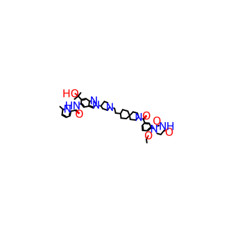 CCOc1ccc(C(=O)N2CCC3(CCC(CCN4CCC(n5cc6cc(NC(=O)c7cccc(C)n7)c(C(C)(C)O)cc6n5)CC4)CC3)CC2)cc1N1CCC(=O)NC1=O